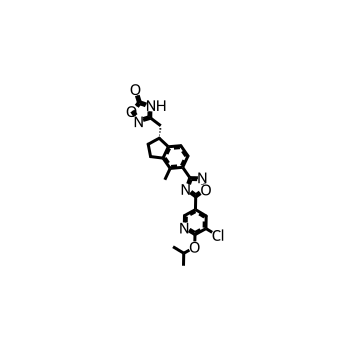 Cc1c(-c2noc(-c3cnc(OC(C)C)c(Cl)c3)n2)ccc2c1CC[C@@H]2Cc1noc(=O)[nH]1